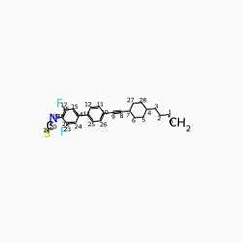 C=CCCC1CCC(C#Cc2ccc(-c3cc(F)c(N=C=S)c(F)c3)cc2)CC1